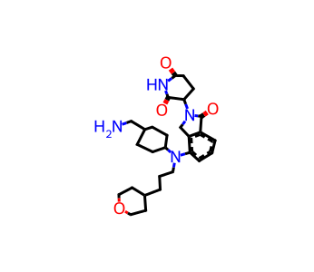 NCC1CCC(N(CCCC2CCOCC2)c2cccc3c2CN(C2CCC(=O)NC2=O)C3=O)CC1